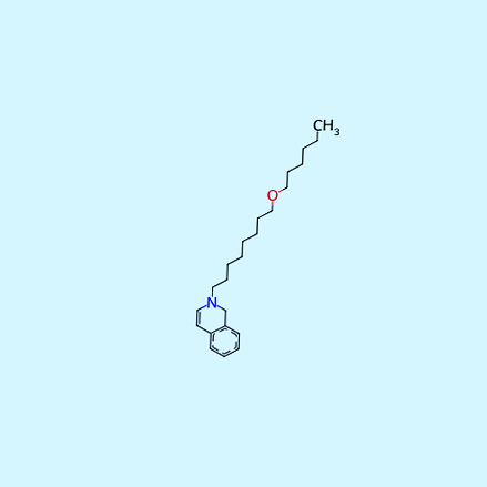 CCCCCCOCCCCCCCCN1C=Cc2ccccc2C1